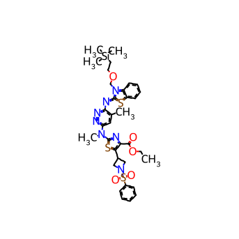 CCOC(=O)c1nc(N(C)c2cc(C)c(/N=c3\sc4ccccc4n3COCC[Si](C)(C)C)nn2)sc1C1CN(S(=O)(=O)c2ccccc2)C1